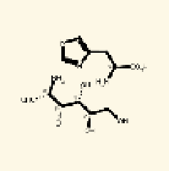 N[C@@H](C=O)[C@@H](O)[C@H](O)[C@H](O)CO.N[C@@H](Cc1c[nH]cn1)C(=O)O